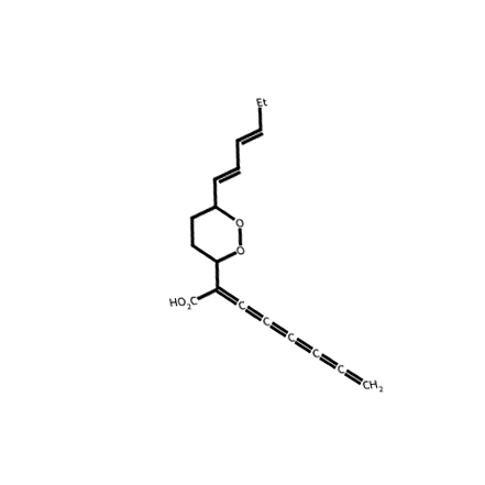 C=C=C=C=C=C=C(C(=O)O)C1CCC(C=CC=CCC)OO1